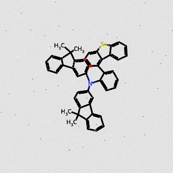 CC1(C)c2ccccc2-c2cc(N(c3ccc4c(c3)-c3ccccc3C4(C)C)c3ccccc3-c3cccc4sc5ccccc5c34)ccc21